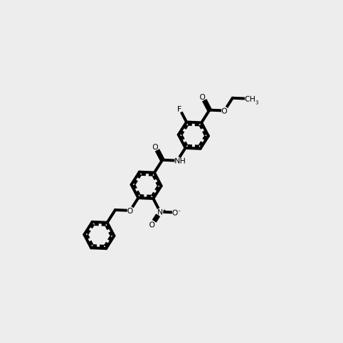 CCOC(=O)c1ccc(NC(=O)c2ccc(OCc3ccccc3)c([N+](=O)[O-])c2)cc1F